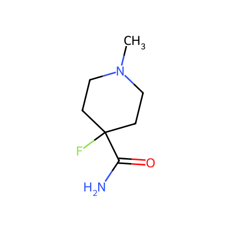 CN1CCC(F)(C(N)=O)CC1